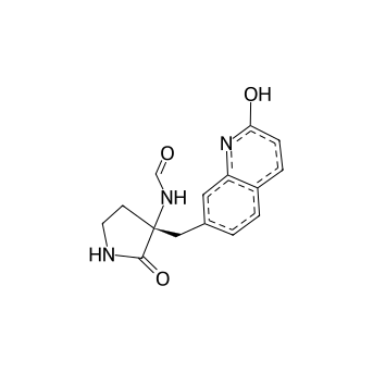 O=CN[C@@]1(Cc2ccc3ccc(O)nc3c2)CCNC1=O